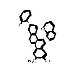 C1=Cc2ccccc2OC1.CC1=Cc2ccc3c(c2=CC1C)=CCC1=C3C=C[C@@H](c2ccccc2F)C1